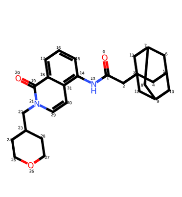 O=C(CC12CC3CC(CC(C3)C1)C2)Nc1cccc2c(=O)n(CC3CCOCC3)ccc12